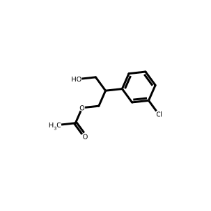 CC(=O)OCC(CO)c1cccc(Cl)c1